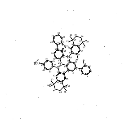 Cc1ccccc1-c1cc2c3c(c1)N(c1cc4c(cc1C)C(C)(C)CCC4(C)C)c1c(ccc4c1sc1ccccc14)B3N(c1ccc(C(C)(C)C)cc1)c1cc3c(cc1-2)C(C)(C)CCC3(C)C